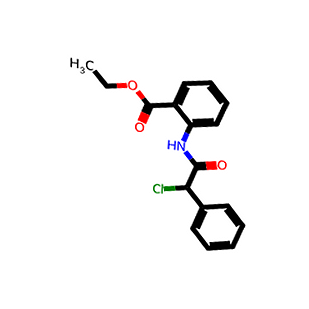 CCOC(=O)c1ccccc1NC(=O)C(Cl)c1ccccc1